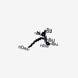 CCCCCCCCCCCCCCCCCCCCCC#CC(=N\c1cc(CCCC)cc(CCCC)c1)/C(CCCC)=N/c1cc(CCCC)cc(CCCC)c1.[Ni]